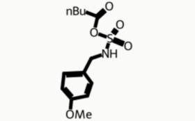 CCCCC(=O)OS(=O)(=O)NCc1ccc(OC)cc1